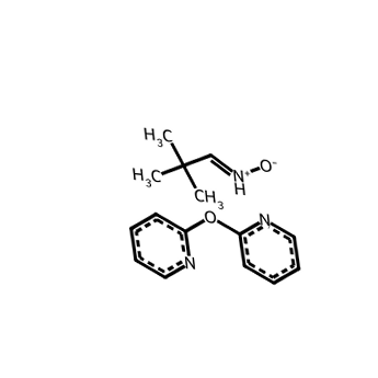 CC(C)(C)C=[NH+][O-].c1ccc(Oc2ccccn2)nc1